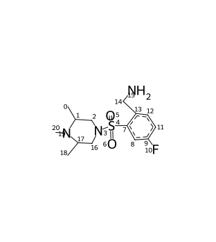 CC1CN(S(=O)(=O)c2cc(F)ccc2CN)CC(C)N1C